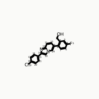 OCc1cc(F)ccc1-c1ccc2nc(-c3ccc(Cl)cc3)cn2c1